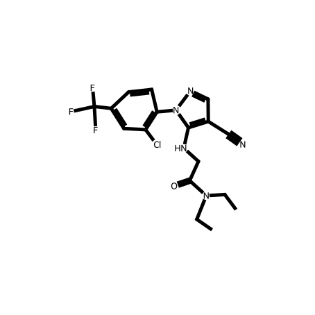 CCN(CC)C(=O)CNc1c(C#N)cnn1-c1ccc(C(F)(F)F)cc1Cl